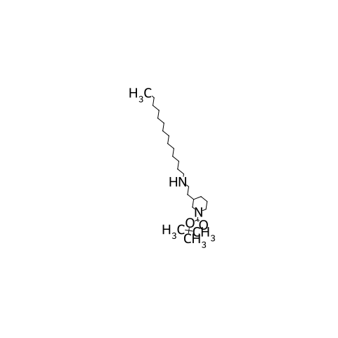 CCCCCCCCCCCCCCNCCC1CCCN(C(=O)OC(C)(C)C)C1